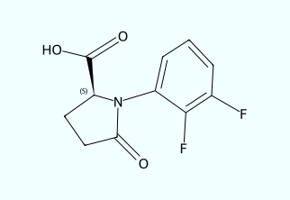 O=C(O)[C@@H]1CCC(=O)N1c1cccc(F)c1F